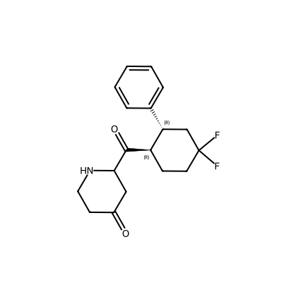 O=C1CCNC(C(=O)[C@@H]2CCC(F)(F)C[C@H]2c2ccccc2)C1